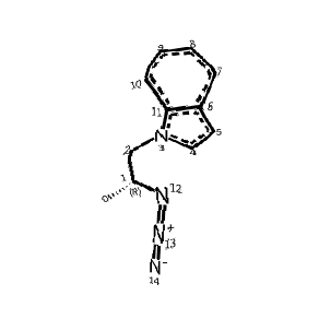 C[C@H](Cn1ccc2ccccc21)N=[N+]=[N-]